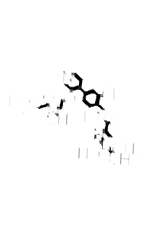 C=CC(=O)N(C)CCOc1cnccc1-c1ccc(CNC(=O)c2cn(C(C)(C)C)nn2)c(C)c1